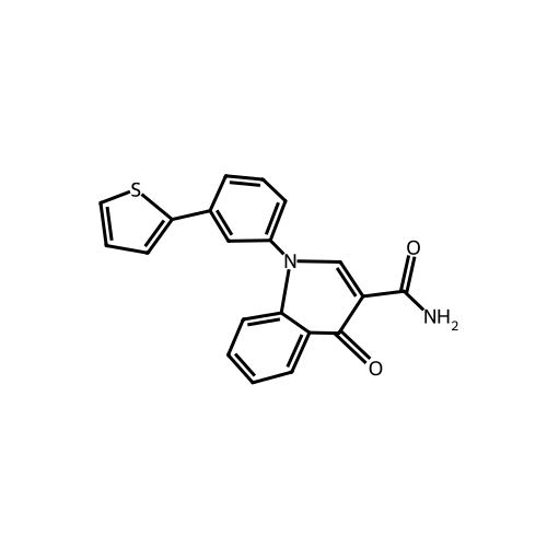 NC(=O)c1cn(-c2cccc(-c3cccs3)c2)c2ccccc2c1=O